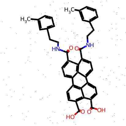 Cc1cccc(CCNC(=O)c2ccc3c4ccc(C(=O)O)c5c(C(=O)O)ccc(c6ccc(C(=O)NCCc7cccc(C)c7)c2c36)c54)c1